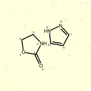 O=C1NCCO1.c1cn[nH]c1